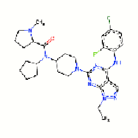 CN1CCCC1C(=O)N(C1CCCC1)C1CCN(c2nc(Nc3ccc(Cl)cc3F)c3cnn(CC(F)(F)F)c3n2)CC1